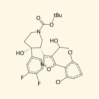 CC(O)c1c([C@H]2CN(C(=O)OC(C)(C)C)CC[C@]2(O)c2ccc(F)c(F)c2)noc1-c1c(Cl)cccc1Cl